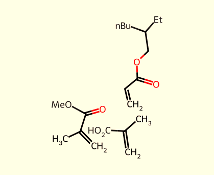 C=C(C)C(=O)O.C=C(C)C(=O)OC.C=CC(=O)OCC(CC)CCCC